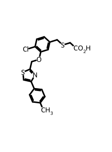 Cc1ccc(-c2csc(COc3cc(CSCC(=O)O)ccc3Cl)n2)cc1